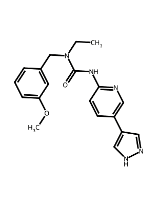 CCN(Cc1cccc(OC)c1)C(=O)Nc1ccc(-c2cn[nH]c2)cn1